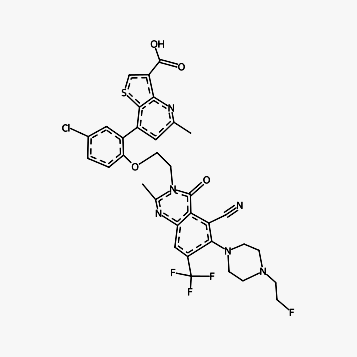 Cc1cc(-c2cc(Cl)ccc2OCCn2c(C)nc3cc(C(F)(F)F)c(N4CCN(CCF)CC4)c(C#N)c3c2=O)c2scc(C(=O)O)c2n1